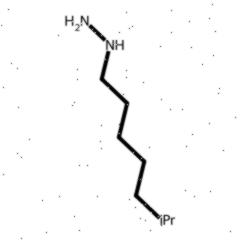 CC(C)CCCCCNN